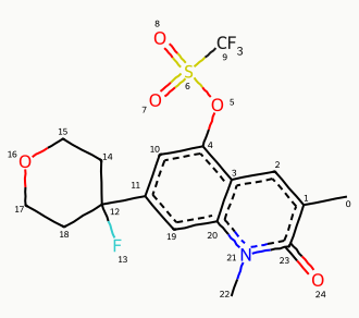 Cc1cc2c(OS(=O)(=O)C(F)(F)F)cc(C3(F)CCOCC3)cc2n(C)c1=O